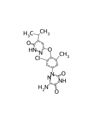 Cc1cc(-n2nc(N)c(=O)[nH]c2=O)cc(Cl)c1Oc1cc(C(C)C)c(=O)[nH]n1